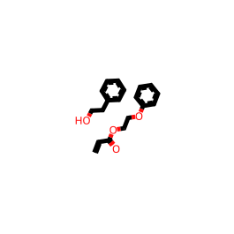 C=CC(=O)OCCOc1ccccc1.OCCc1ccccc1